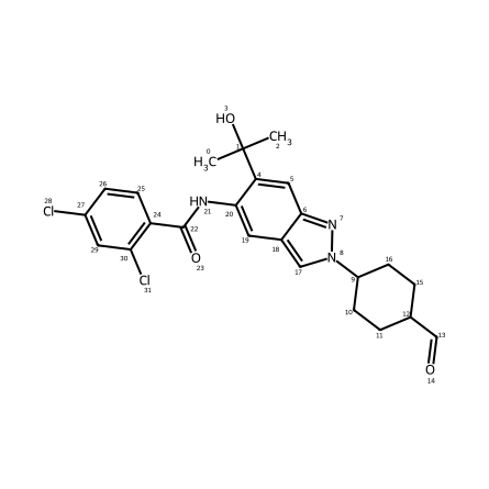 CC(C)(O)c1cc2nn(C3CCC(C=O)CC3)cc2cc1NC(=O)c1ccc(Cl)cc1Cl